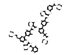 CC(C)(C(=O)N1CCOCC1)c1ccc(Nc2nc(-c3c(F)cc(-c4cc(CC(=O)N5CCOCC5)ccc4Nc4nc(-c5c(F)cccc5F)n5c4C(=O)NCC5)cc3F)n3c2C(=O)NCC3)c(-c2cc(F)c(-c3nc(Nc4cccc(C(=O)N5CCOCC5)c4)c4n3CCNC4=O)c(F)c2)c1